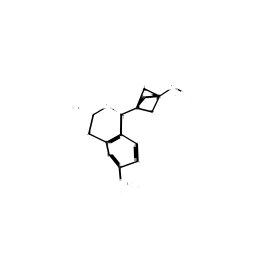 CCCC[C@H]1Cc2cc(OC)ccc2[C@H](C23CC(NC(=O)O)(C2)C3)N1